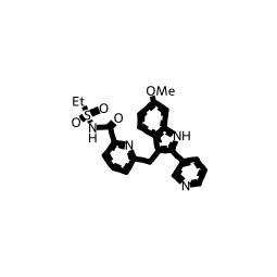 CCS(=O)(=O)NC(=O)c1cccc(Cc2c(-c3cccnc3)[nH]c3cc(OC)ccc23)n1